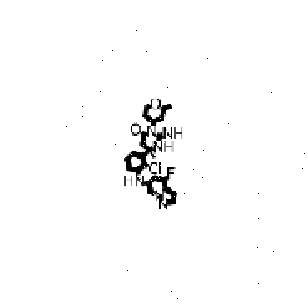 CC1CC(N2C(=N)N[C@](C)(c3cccc(Nc4cc(F)c5ccnn5c4)c3Cl)CC2=O)CCO1